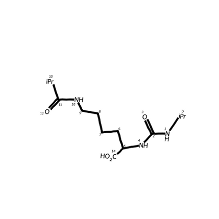 CC(C)NC(=O)NC(CCCCNC(=O)C(C)C)C(=O)O